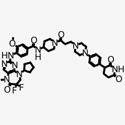 COc1cc(C(=O)NC2CCN(C(=O)CCN3CCN(c4ccc(C5CCC(=O)NC5=O)cc4)CC3)CC2)ccc1Nc1ncc2c(n1)N(C1CCCC1)CC(F)(F)C(=O)N2C